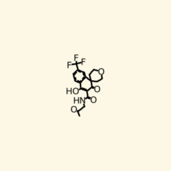 CC(=O)CNC(=O)C1=C(O)c2ccc(C(F)(F)F)cc2C2(CCOCC2)C1=O